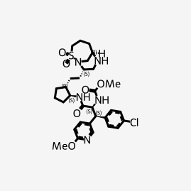 COC(=O)N[C@H](C(=O)N[C@H]1CCC[C@@H]1CC[C@H]1CN[C@@H]2CCCS(=O)(=O)N1C2)[C@@H](c1ccc(Cl)cc1)c1ccc(OC)nc1